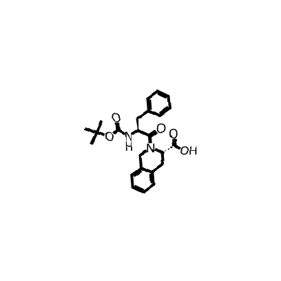 CC(C)(C)OC(=O)N[C@@H](Cc1ccccc1)C(=O)N1Cc2ccccc2C[C@H]1C(=O)O